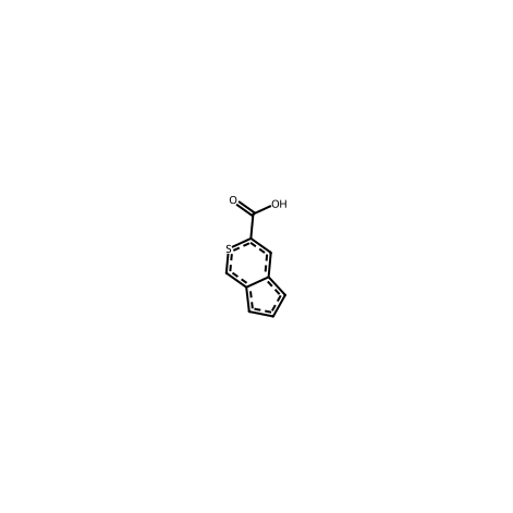 O=C(O)c1cc2cccc-2cs1